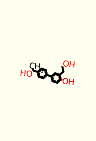 CC(O)c1ccc(-c2ccc(O)c(CCO)c2)cc1